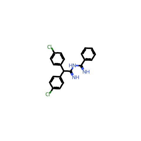 N=C(NC(=N)C(c1ccc(Cl)cc1)c1ccc(Cl)cc1)c1ccccc1